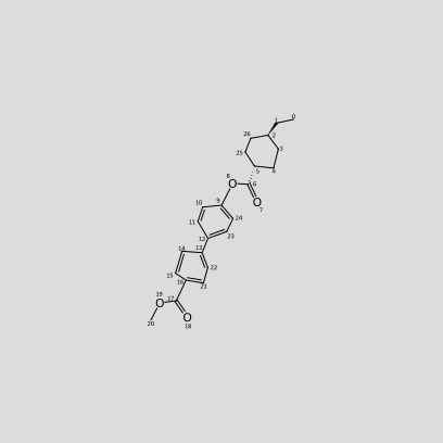 CC[C@H]1CC[C@H](C(=O)Oc2ccc(-c3ccc(C(=O)OC)cc3)cc2)CC1